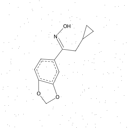 O/N=C(\CC1CC1)c1ccc2c(c1)OCO2